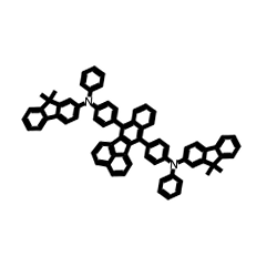 CC1(C)c2ccccc2-c2ccc(N(c3ccccc3)c3ccc(-c4c5c(c(-c6ccc(N(c7ccccc7)c7ccc8c(c7)C(C)(C)c7ccccc7-8)cc6)c6ccccc46)-c4cccc6cccc-5c46)cc3)cc21